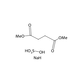 COC(=O)CCC(=O)OC.O=S(=O)(O)O.[NaH]